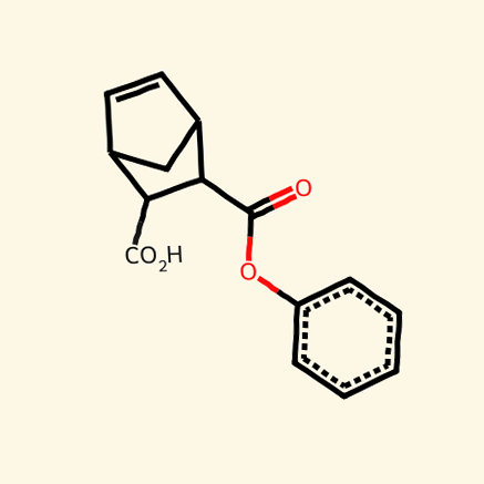 O=C(O)C1C2C=CC(C2)C1C(=O)Oc1ccccc1